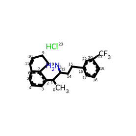 CC(c1cccc2c1CCC=C2)C(N)CCc1cccc(C(F)(F)F)c1.Cl